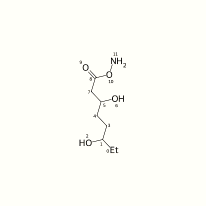 CCC(O)CCC(O)CC(=O)ON